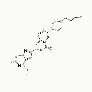 CCc1nc(C)cn2nc(-c3cc(=O)n4cc(N5CCN(CCCF)CC5)ccc4n3)cc12